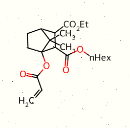 C=CC(=O)OC12CCC(C(C(=O)OCC)C1C(=O)OCCCCCC)C2(C)C